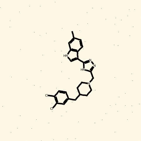 Cc1ccc2c(-c3nnc(CN4CCC(Cc5ccc(Cl)c(Cl)c5)CC4)[nH]3)c[nH]c2c1